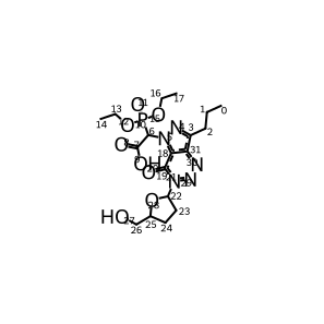 CCCc1nn(C(C(=O)O)P(=O)(OCC)OCC)c2c(=O)n(C3CCC(CO)O3)nnc12